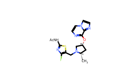 CC(=O)Nc1nc(F)c(CN2C[C@H](Oc3nccn4ccnc34)C[C@@H]2C)s1